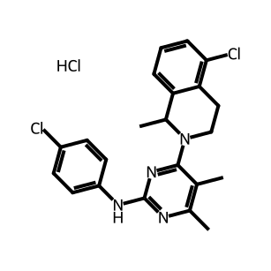 Cc1nc(Nc2ccc(Cl)cc2)nc(N2CCc3c(Cl)cccc3C2C)c1C.Cl